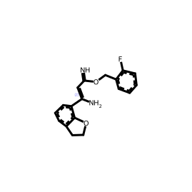 N=C(/C=C(\N)c1cccc2c1OCC2)OCc1ccccc1F